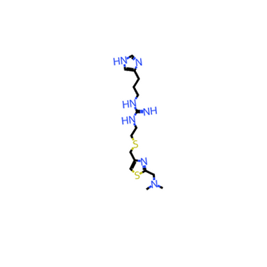 CN(C)Cc1nc(CSCCNC(=N)NCCCc2c[nH]cn2)cs1